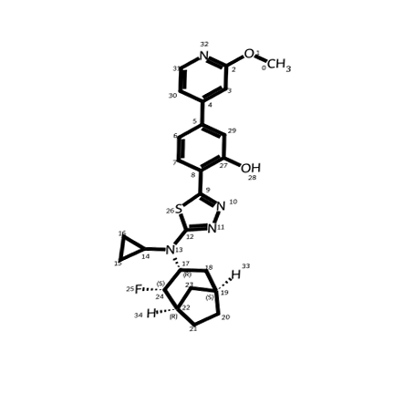 COc1cc(-c2ccc(-c3nnc(N(C4CC4)[C@@H]4C[C@H]5CC[C@H](C5)[C@@H]4F)s3)c(O)c2)ccn1